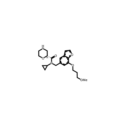 COCCCOc1cc(CN(C(=O)[C@H]2CNCCO2)C2CC2)cc2ccoc12